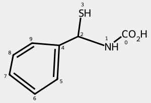 O=C(O)NC(S)c1ccccc1